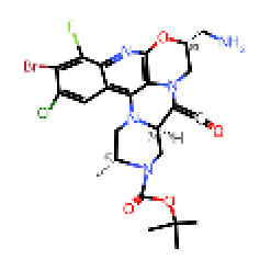 C[C@@H]1CN2c3c4c(nc5c(F)c(Br)c(Cl)cc35)O[C@H](CN)CN4C(=C=O)[C@H]2CN1C(=O)OC(C)(C)C